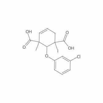 CC1(C(=O)O)C=CCC(I)(C(=O)O)C1Oc1cccc(Cl)c1